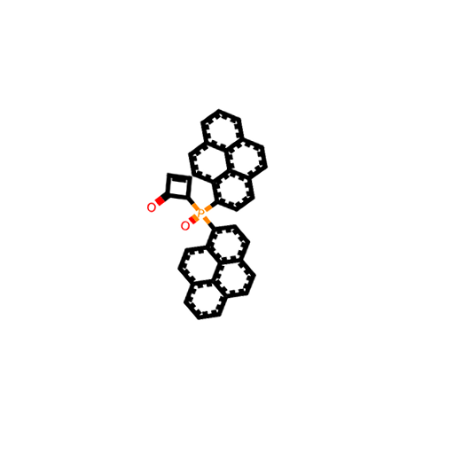 O=C1C=CC1P(=O)(c1ccc2ccc3cccc4ccc1c2c34)c1ccc2ccc3cccc4ccc1c2c34